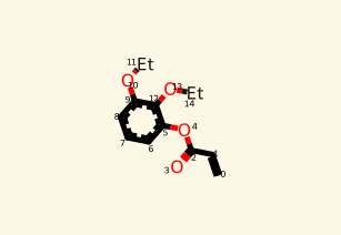 C=CC(=O)Oc1cc[c]c(OCC)c1OCC